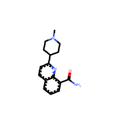 CN1CCC(c2ccc3cccc(C(N)=O)c3n2)CC1